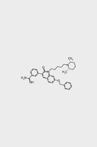 C[C@@H]1CCC[C@H](C)N1CCCCCn1c(=O)c(-c2cccc(C(=N)N)c2)cc2ccc(OCc3ccccc3)cc21